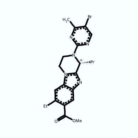 CCc1cc2c(cc1C(=O)OC)nc1n2CCN(c2ncc(Br)c(C)n2)[C@@H]1C(C)C